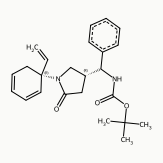 C=C[C@@]1(N2C[C@H](C(NC(=O)OC(C)(C)C)c3ccccc3)CC2=O)C=CC=CC1